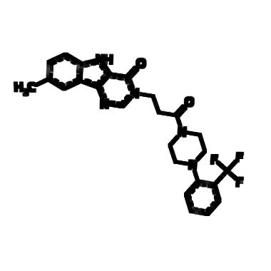 Cc1ccc2[nH]c3c(=O)n(CCC(=O)N4CCN(c5ccccc5C(F)(F)F)CC4)cnc3c2c1